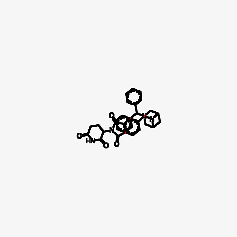 O=C1CCC(N2C(=O)c3ccc(CN4C5CC4CN(C(c4ccccc4)c4ccccc4)C5)cc3C2=O)C(=O)N1